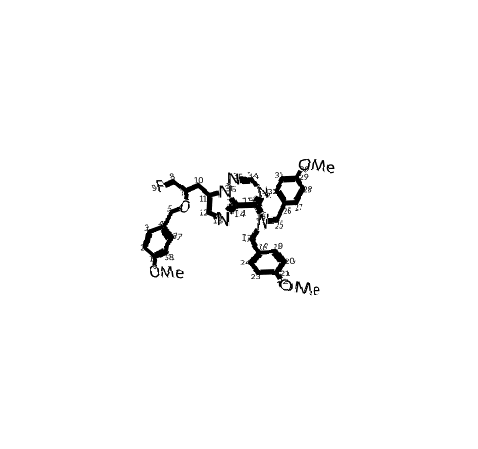 COc1ccc(COC(CF)Cc2cnc3c(N(Cc4ccc(OC)cc4)Cc4ccc(OC)cc4)ncnn23)cc1